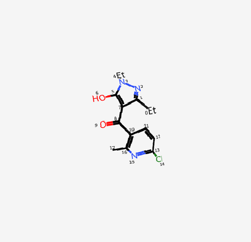 CCc1nn(CC)c(O)c1C(=O)c1ccc(Cl)nc1C